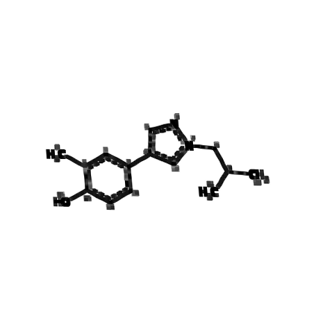 Cc1cc(-c2cnn(CC(C)C)c2)ccc1O